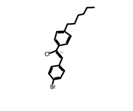 CCCCCCc1ccc(/C(Cl)=C/c2ccc(Br)cc2)cc1